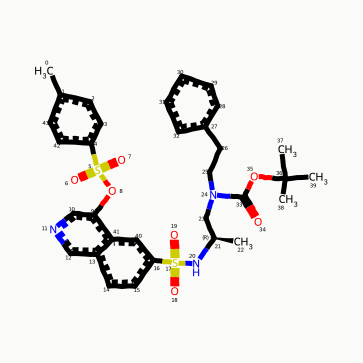 Cc1ccc(S(=O)(=O)Oc2cncc3ccc(S(=O)(=O)N[C@H](C)CN(CCc4ccccc4)C(=O)OC(C)(C)C)cc23)cc1